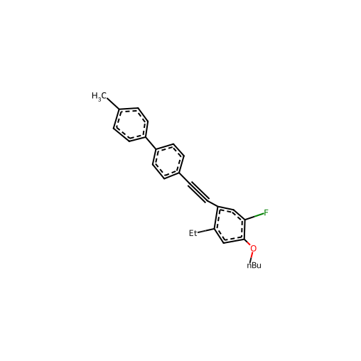 CCCCOc1cc(CC)c(C#Cc2ccc(-c3ccc(C)cc3)cc2)cc1F